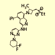 CCS(=O)(=O)C[C@H]1CN(c2ccc(C(C)C)c3cc(Nc4ccnc(N5CCCC(F)(F)C5)n4)ncc23)[C@@H]1C